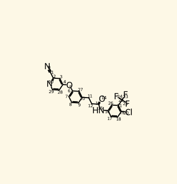 N#Cc1cc(Oc2cccc(CCC(=O)Nc3ccc(Cl)c(C(F)(F)F)c3)c2)ccn1